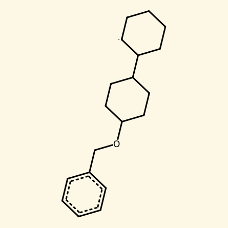 [CH]1CCCCC1C1CCC(OCc2ccccc2)CC1